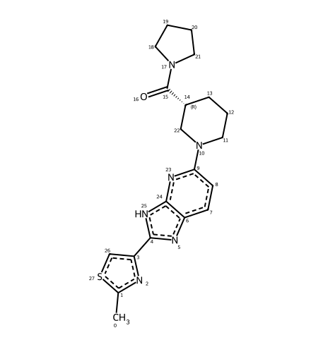 Cc1nc(-c2nc3ccc(N4CCC[C@@H](C(=O)N5CCCC5)C4)nc3[nH]2)cs1